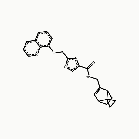 O=C(NCC1=CC2CCC1C21CC1)c1coc(COc2cccc3cccnc23)n1